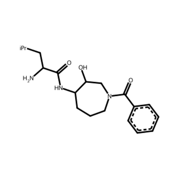 CC(C)CC(N)C(=O)NC1CCCN(C(=O)c2ccccc2)CC1O